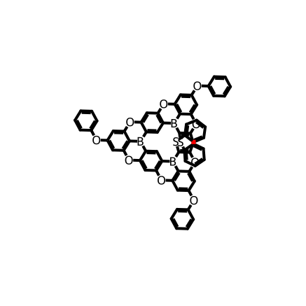 c1ccc(Oc2cc3c4c(c2)Oc2cc5c(cc2B4c2cc4c(cc2O3)Oc2cc(Oc3ccccc3)cc3c2B4c2sc4ccccc4c2O3)B2c3sc4ccccc4c3Oc3cc(Oc4ccccc4)cc(c32)O5)cc1